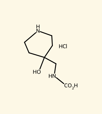 Cl.O=C(O)NCC1(O)CCNCC1